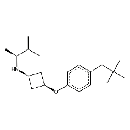 CC(C)[C@H](C)N[C@H]1C[C@@H](Oc2ccc(CC(C)(C)C)cc2)C1